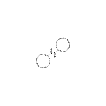 c1ccccc(NNc2ccccccccc2)cccc1